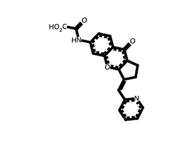 O=C(O)C(=O)Nc1ccc2c(=O)c3c(oc2c1)/C(=C/c1ccccn1)CC3